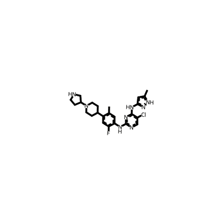 Cc1cc(Nc2nc(Nc3cc(C)c(C4CCN(C5CCNC5)CC4)cc3F)ncc2Cl)n[nH]1